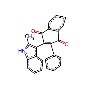 Cc1[nH]c2ccccc2c1C1=C(c2ccccc2)C(=O)c2ccccc2C1=O